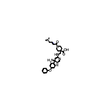 CN(C)C/C=C/C(=O)N1CCC(CNC2=CC(N)(c3ccc(Oc4ccccc4)cc3)NC=N2)(C(=O)O)CC1